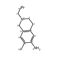 C[C](C)CN1CCc2cc(N)c(F)cc2C1